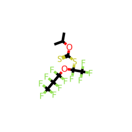 CC(C)OC(=S)SC(F)(OC(F)(F)C(F)(F)C(F)(F)F)C(F)(F)F